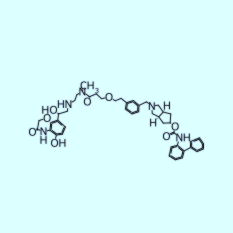 CN(CCNC[C@H](O)c1ccc(O)c2c1OCC(=O)N2)C(=O)CCOCCc1cccc(CN2C[C@H]3C[C@H](OC(=O)Nc4ccccc4-c4ccccc4)C[C@H]3C2)c1